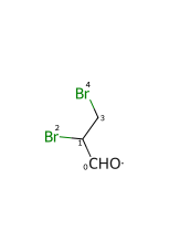 O=[C]C(Br)CBr